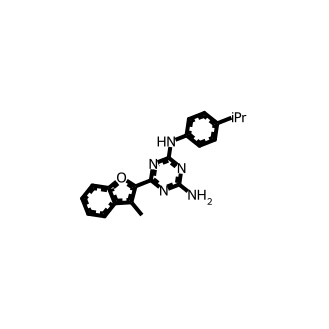 Cc1c(-c2nc(N)nc(Nc3ccc(C(C)C)cc3)n2)oc2ccccc12